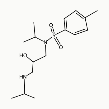 Cc1ccc(S(=O)(=O)N(CC(O)CNC(C)C)C(C)C)cc1